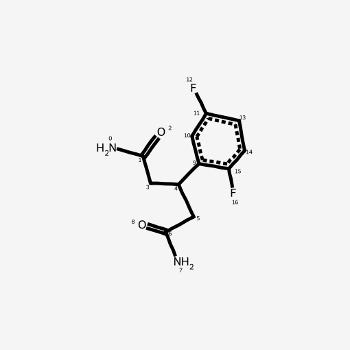 NC(=O)CC(CC(N)=O)c1cc(F)ccc1F